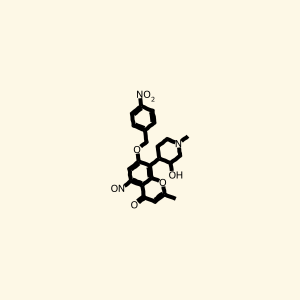 Cc1cc(=O)c2c(N=O)cc(OCc3ccc([N+](=O)[O-])cc3)c(C3CCN(C)CC3O)c2o1